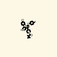 CN(C(=O)Oc1ccc(F)cc1)[C@]1(C(=O)C2CCN(C(=O)C3(C)CC3)CC2)CNC[C@H]1c1ccc(Cl)cc1